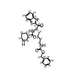 O=C(NCCCC[C@H](NC(=O)[C@@H]1CCCNC1)C(=O)c1nc2ccccc2s1)OCc1ccccc1